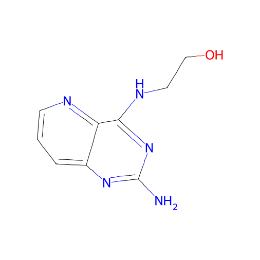 Nc1nc(NCCO)c2ncccc2n1